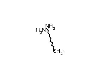 [CH2]CCCCCCCCCC[C](N)N